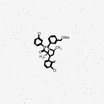 COCc1cccc(CN2[C@@H](C)CC(c3cccc(Cl)c3F)[C@]2(C)C(=O)Nc2cccc(Cl)c2)c1